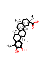 Cc1c(O)c(O)cc2c1CCC1[C@@]2(C)CC[C@@]2(C)[C@@H]3C[C@](C)(C(=O)O)CC[C@]3(C)CC[C@]12C